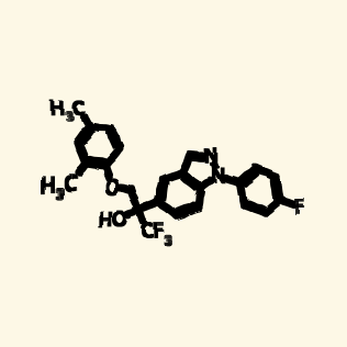 Cc1ccc(OCC(O)(c2ccc3c(cnn3-c3ccc(F)cc3)c2)C(F)(F)F)c(C)c1